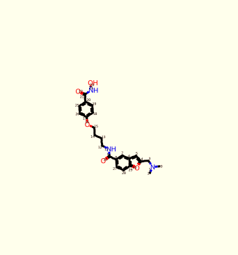 CN(C)Cc1cc2cc(C(=O)NCCCCOc3ccc(C(=O)NO)cc3)ccc2o1